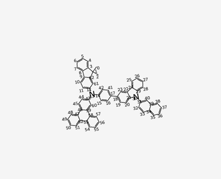 CC1(C)c2ccccc2-c2ccc(N(c3ccc(-c4ccc5c(c4)c4ccccc4n5-c4ccc5ccccc5c4)cc3)c3ccc4c5ccccc5c5ccccc5c4c3)cc21